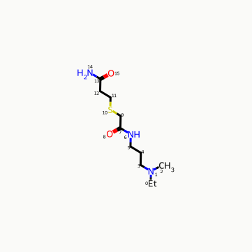 CCN(C)CCCNC(=O)CSCCC(N)=O